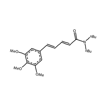 CCCCN(CCCC)C(=O)/C=C/C=C/c1cc(OC)c(OC)c(OC)c1